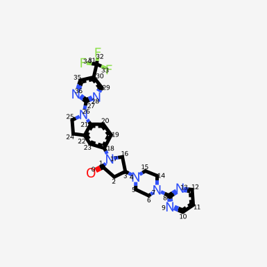 O=C1CC(N2CCN(c3ncccn3)CC2)CN1c1ccc2c(c1)CCN2c1ncc(C(F)(F)F)cn1